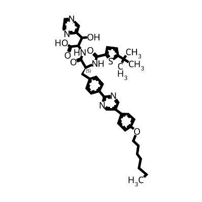 CCCCCCCOc1ccc(-c2cnc(-c3ccc(C[C@H](NC(=O)c4ccc(C(C)(C)C)s4)C(=O)NC(C(=O)O)C(O)c4cnccn4)cc3)nc2)cc1